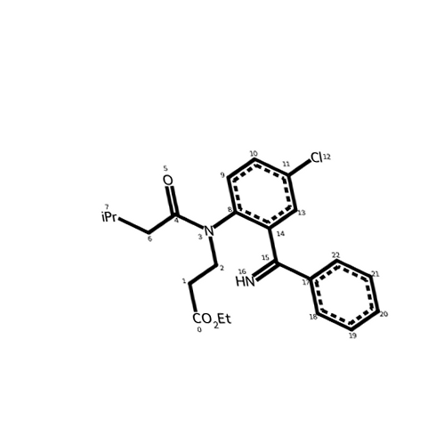 CCOC(=O)CCN(C(=O)CC(C)C)c1ccc(Cl)cc1C(=N)c1ccccc1